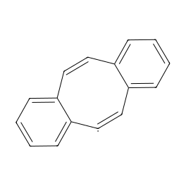 [C]1=Cc2ccccc2C=Cc2ccccc21